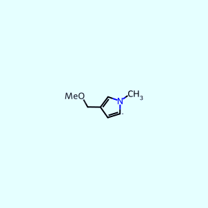 COCc1c[c]n(C)c1